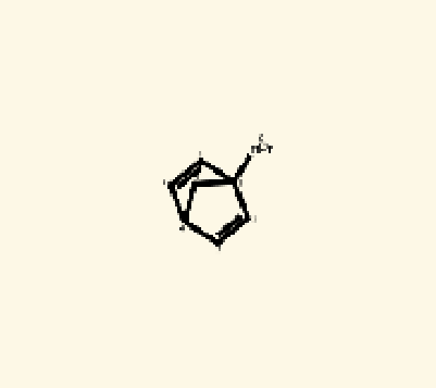 CCCC12C=CC(C=C1)C2